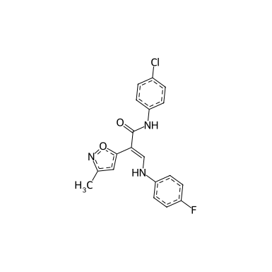 Cc1cc(/C(=C\Nc2ccc(F)cc2)C(=O)Nc2ccc(Cl)cc2)on1